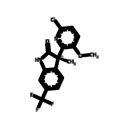 COc1ccc(Cl)nc1[C@@]1(C)C(=O)Nc2cc(C(F)(F)F)ccc21